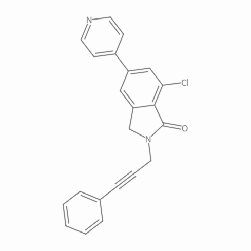 O=C1c2c(Cl)cc(-c3ccncc3)cc2CN1CC#Cc1ccccc1